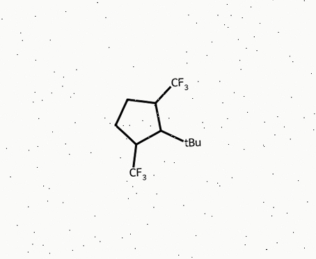 CC(C)(C)C1C(C(F)(F)F)CCC1C(F)(F)F